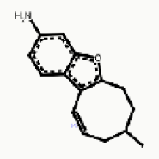 CC1C/C=C\c2c(oc3cc(N)ccc23)CC1